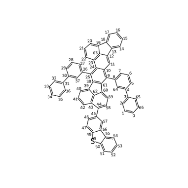 c1ccc(-c2cccc(-c3c4cc5c6ccccc6c6cccc(c4c(-c4cccc(-c7ccccc7)c4)c4c7cccc8c(-c9ccc%10sc%11ccccc%11c%10c9)ccc(c34)c87)c65)c2)cc1